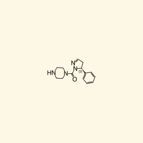 O=C(N1CCNCC1)N1N=CC[C@H]1c1ccccc1